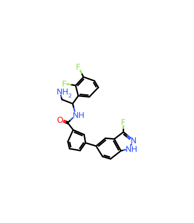 NCC(NC(=O)c1cccc(-c2ccc3[nH]nc(F)c3c2)c1)c1cccc(F)c1F